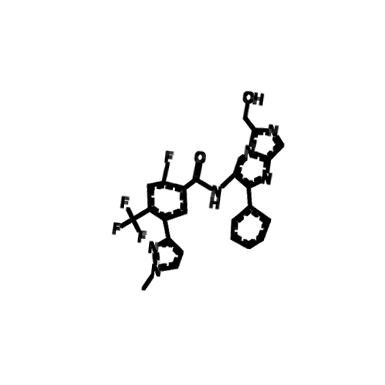 Cn1ccc(-c2cc(C(=O)Nc3cn4c(CO)ncc4nc3-c3ccccc3)c(F)cc2C(F)(F)F)n1